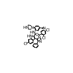 CC(c1ccc(Cl)cc1Cl)n1cnc(-c2ccccc2)c1-c1c(C(=O)Nc2cc(C#N)ccc2N2CCNCC2)[nH]c2cc(Cl)ccc12